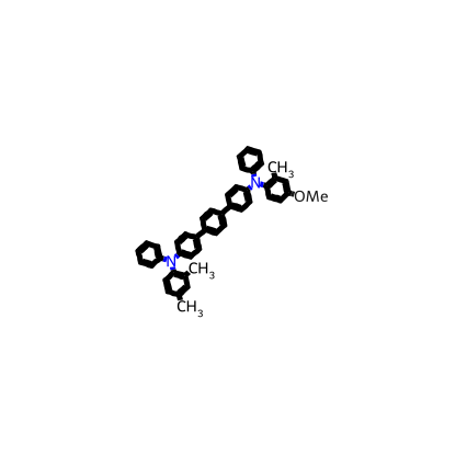 COc1ccc(N(c2ccccc2)c2ccc(-c3ccc(-c4ccc(N(c5ccccc5)c5ccc(C)cc5C)cc4)cc3)cc2)c(C)c1